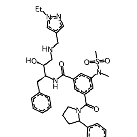 CCn1cc(CNC[C@H](O)[C@H](Cc2ccccc2)NC(=O)c2cc(C(=O)N3CCCC3c3ccccc3)cc(N(C)S(C)(=O)=O)c2)cn1